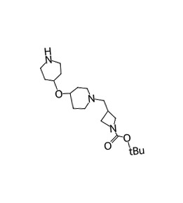 CC(C)(C)OC(=O)N1CC(CN2CCC(OC3CCNCC3)CC2)C1